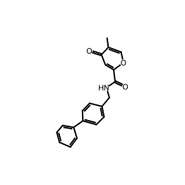 Cc1coc(C(=O)NCc2ccc(-c3ccccc3)cc2)cc1=O